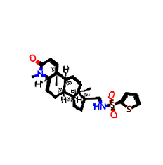 CN1C(=O)C=C[C@]2(C)[C@H]3CC[C@]4(C)[C@@H](CNS(=O)(=O)c5cccs5)CC[C@H]4[C@@H]3CC[C@@H]12